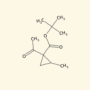 CC(=O)C1(C(=O)OC(C)(C)C)CC1C